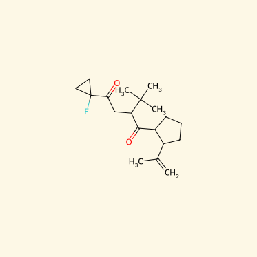 C=C(C)C1CCCC1C(=O)C(CC(=O)C1(F)CC1)C(C)(C)C